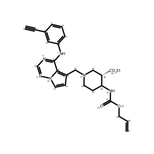 C#Cc1cccc(Nc2ncnn3ccc(CN4CCC(NC(=O)OCC=C)[C@@H](C(=O)OCC)C4)c23)c1